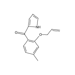 C=CCOc1cc(C)ccc1C(=O)c1ccc[nH]1